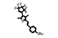 Cc1sc(C=Cc2ccc(C(C)(C)C)cc2)c(C)c1C1=CC(F)(F)C(F)(F)C1(F)F